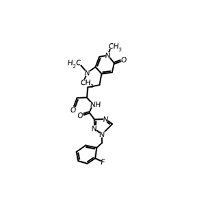 CN(C)c1cn(C)c(=O)cc1CCC(C=O)NC(=O)c1ncn(Cc2ccccc2F)n1